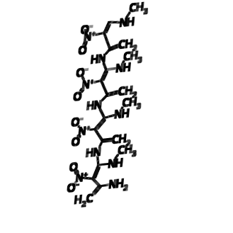 C=C(N)/C(=C(\NC)NC(=C)/C(=C(\NC)NC(=C)/C(=C(\NC)NC(=C)/C(=C\NC)[N+](=O)[O-])[N+](=O)[O-])[N+](=O)[O-])[N+](=O)[O-]